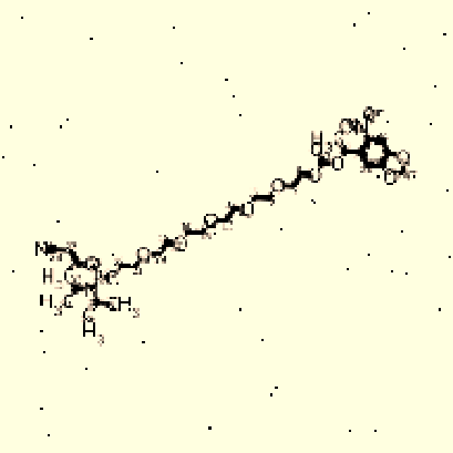 CC(OC(=O)OCCOCCOCCOCCOCCOCCOP(OCCC#N)N(C(C)C)C(C)C)c1cc2c(cc1[N+](=O)[O-])OCO2